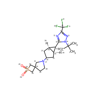 CC(C)(C)n1nc(C(F)(F)F)nc1C1[C@H]2CC(N3CCC4(C3)CS(=O)(=O)C4)C[C@@H]12